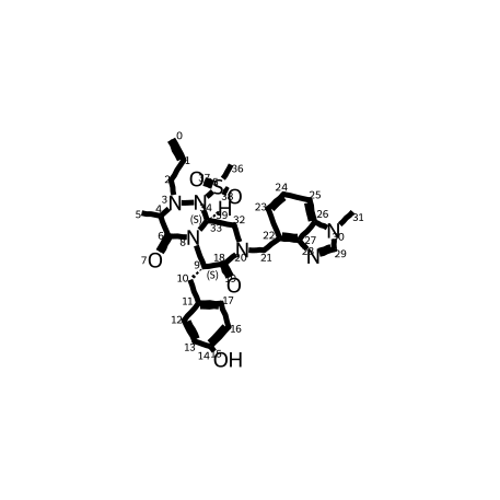 C=CCN1C(C)C(=O)N2[C@@H](Cc3ccc(O)cc3)C(=O)N(Cc3cccc4c3ncn4C)C[C@@H]2N1S(C)(=O)=O